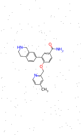 Cc1ccnc(COc2ccc(C(N)=O)cc2-c2ccc3c(c2)CNCC3)c1